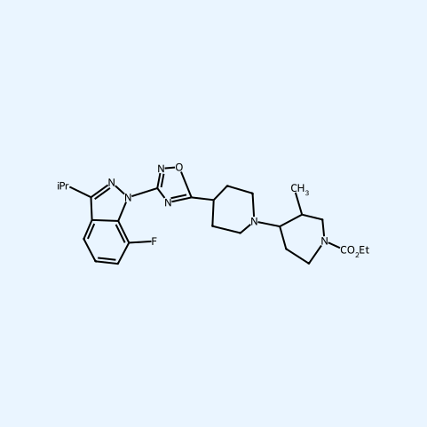 CCOC(=O)N1CCC(N2CCC(c3nc(-n4nc(C(C)C)c5cccc(F)c54)no3)CC2)C(C)C1